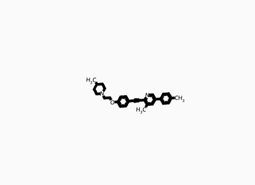 Cc1ccc(-c2cnc(C#Cc3ccc(OCCN4CCC(C)CC4)cc3)c(C)c2)cc1